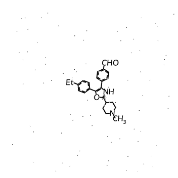 CCc1ccc(C2=C(c3ccc(C=O)cc3)N[C@@H](C3CCN(C)CC3)O2)cc1